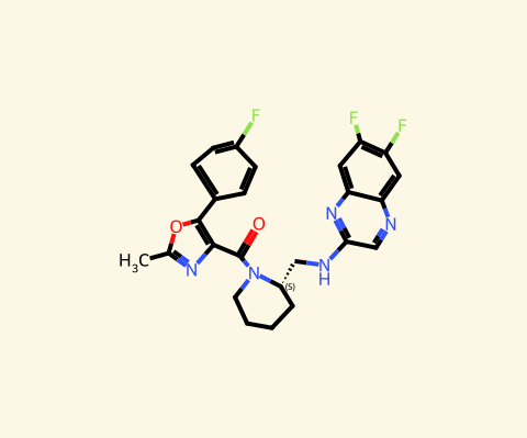 Cc1nc(C(=O)N2CCCC[C@H]2CNc2cnc3cc(F)c(F)cc3n2)c(-c2ccc(F)cc2)o1